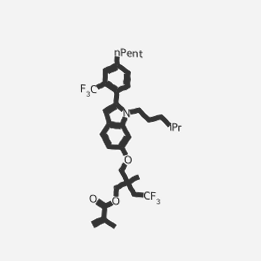 C=C(C)C(=O)OCC(C)(COc1ccc2cc(-c3ccc(CCCCC)cc3C(F)(F)F)n(CCCC(C)C)c2c1)CC(F)(F)F